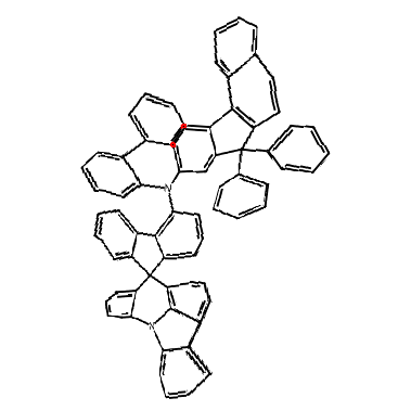 c1ccc(-c2ccccc2N(c2ccc3c(c2)C(c2ccccc2)(c2ccccc2)c2ccc4ccccc4c2-3)c2cccc3c2-c2ccccc2C32c3ccccc3-n3c4ccccc4c4cccc2c43)cc1